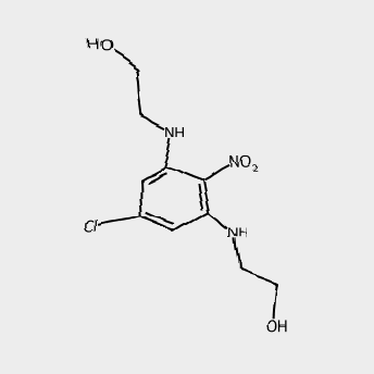 O=[N+]([O-])c1c(NCCO)cc(Cl)cc1NCCO